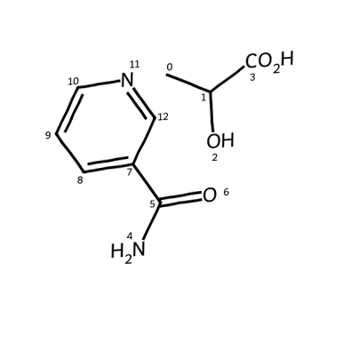 CC(O)C(=O)O.NC(=O)c1cccnc1